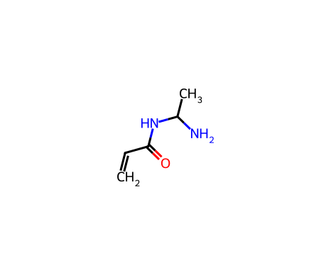 C=CC(=O)NC(C)N